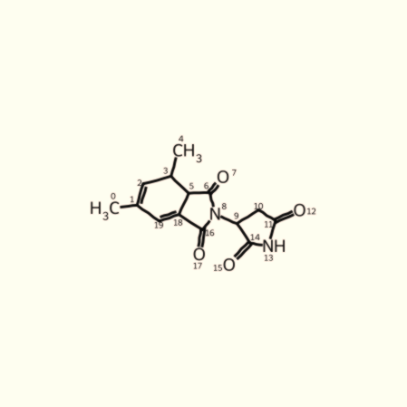 CC1=CC(C)C2C(=O)N(C3CC(=O)NC3=O)C(=O)C2=C1